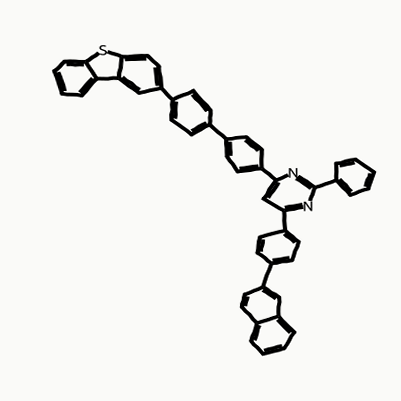 c1ccc(-c2nc(-c3ccc(-c4ccc(-c5ccc6sc7ccccc7c6c5)cc4)cc3)cc(-c3ccc(-c4ccc5ccccc5c4)cc3)n2)cc1